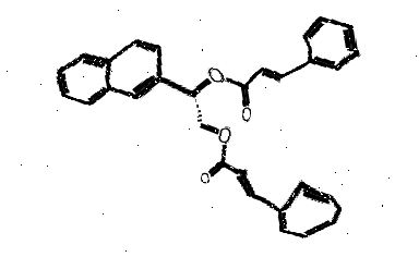 O=C(/C=C/c1ccccc1)OC[C@@H](OC(=O)/C=C/c1ccccc1)c1ccc2ccccc2c1